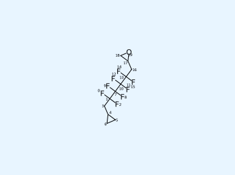 FC(F)(CC1CC1)C(F)(F)C(F)(F)C(F)(F)CC1CO1